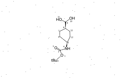 CC(C)(C)OC(=O)N[C@H]1CC[C@@H](C(O)O)CC1